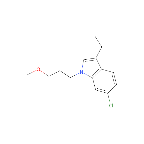 CCc1cn(CCCOC)c2cc(Cl)ccc12